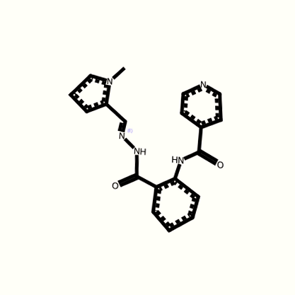 Cn1cccc1/C=N/NC(=O)c1ccccc1NC(=O)c1ccncc1